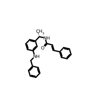 C[C@H](NC(=O)C=Cc1ccccc1)c1cccc(NCc2ccccc2)c1